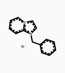 [Br-].c1ccc(Cn2cc[n+]3ccccc23)cc1